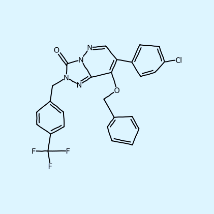 O=c1n(Cc2ccc(C(F)(F)F)cc2)nc2c(OCc3ccccc3)c(-c3ccc(Cl)cc3)cnn12